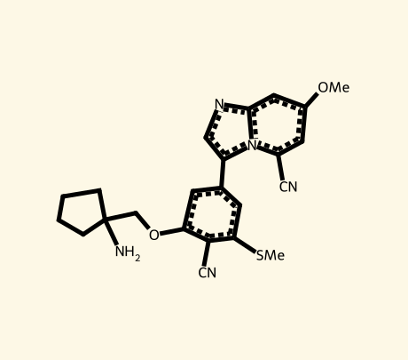 COc1cc(C#N)n2c(-c3cc(OCC4(N)CCCC4)c(C#N)c(SC)c3)cnc2c1